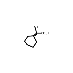 O=C(O)C(S)=C1CCCCC1